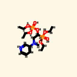 CCOP(=O)(OCC)OC(CN(C)c1cccnc1)P(=O)(OCC)OCC